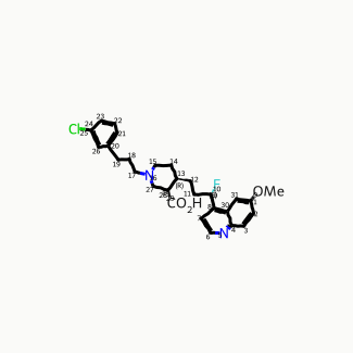 COc1ccc2nccc([C@@H](F)CC[C@@H]3CCN(CCCc4cccc(Cl)c4)C[C@@H]3C(=O)O)c2c1